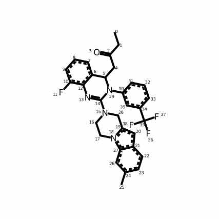 CCC(=O)CC1c2cccc(F)c2N=C(N2CCn3c(cc4ccc(C)cc43)C2)N1c1cccc(C(F)(F)F)c1